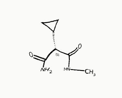 CNC(=O)[C@H](C(N)=O)C1CC1